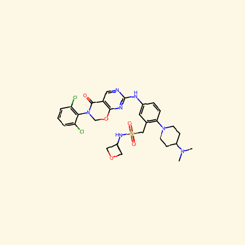 CN(C)C1CCN(c2ccc(Nc3ncc4c(n3)OCN(c3c(Cl)cccc3Cl)C4=O)cc2CS(=O)(=O)NC2COC2)CC1